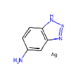 Nc1ccc2[nH]nnc2c1.[Ag]